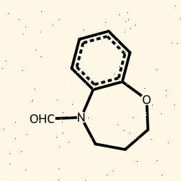 O=CN1CCCOc2ccccc21